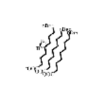 CCCCCCCCCCCCCCCCCC(=O)[O-].CCCCCCCCCCCCCCCCCC(=O)[O-].CCCCCCCCCCCCCCCCCC(=O)[O-].C[CH](C)[Ti+3]